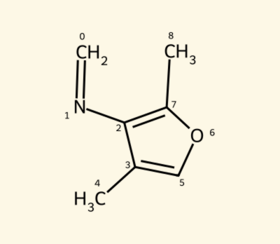 C=Nc1c(C)coc1C